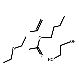 C=CC.CCCCOC(C)=O.CCOCC.OCCO